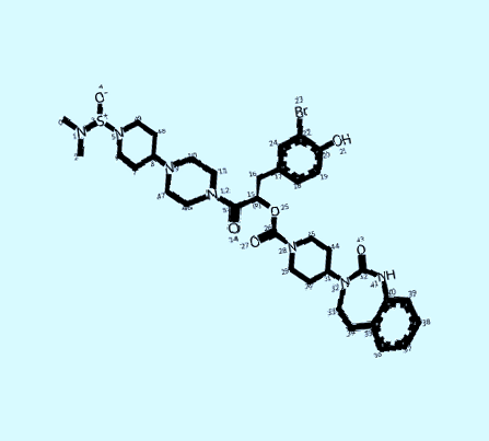 CN(C)[S+]([O-])N1CCC(N2CCN(C(=O)[C@@H](Cc3ccc(O)c(Br)c3)OC(=O)N3CCC(N4CCc5ccccc5NC4=O)CC3)CC2)CC1